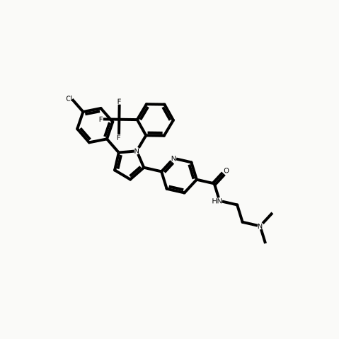 CN(C)CCNC(=O)c1ccc(-c2ccc(-c3ccc(Cl)cc3)n2-c2ccccc2C(F)(F)F)nc1